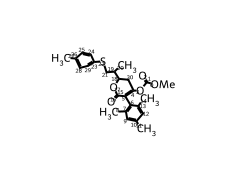 COC(=O)OC1=C(c2c(C)cc(C)cc2C)C(=O)OC(C(C)CSc2ccc(C)cc2)C1